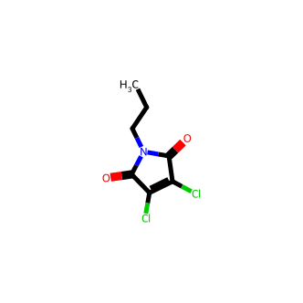 CCCN1C(=O)C(Cl)=C(Cl)C1=O